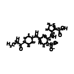 CNC(=O)c1ccc(Nc2ncc([N+](=O)[O-])c(Nc3ccsc3C(=O)O)n2)cc1